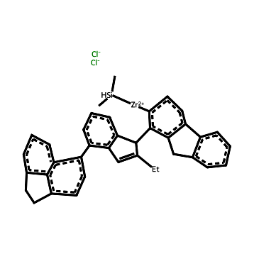 CCC1=Cc2c(-c3ccc4c5c(cccc35)CC4)cccc2C1c1[c]([Zr+2][SiH](C)C)ccc2c1Cc1ccccc1-2.[Cl-].[Cl-]